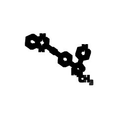 Cn1cc(-c2ccncc2)c(-c2ccc(C#Cc3cnc4ccccc4n3)cc2)n1